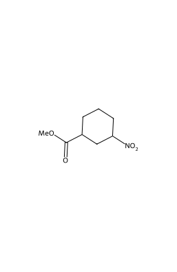 COC(=O)C1CCCC([N+](=O)[O-])C1